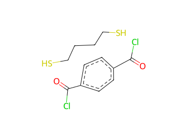 O=C(Cl)c1ccc(C(=O)Cl)cc1.SCCCCS